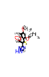 COc1cc(OC)c2c(=S)c(-c3nc[nH]n3)coc2c1